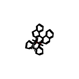 CC(C)(C)P(c1ccccn1)c1ccc2ccccc2c1-c1c(P(c2ccccn2)C(C)(C)C)ccc2ccccc12